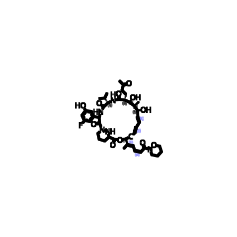 CC(=O)CC[C@H]1C(=O)N[C@@H](C(C)C)C(=O)NC(c2cc(O)cc(F)c2)C(=O)N2CCCC(N2)C(=O)O[C@H](/C(C)=C/C=C\C(=O)N2CCCCO2)C/C=C/C=C/[C@H](O)[C@H](C)[C@H]1O